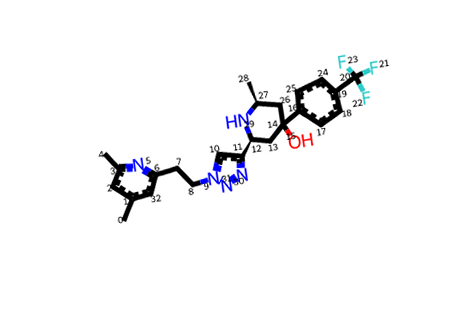 Cc1cc(C)nc(CCn2cc([C@@H]3CC(O)(c4ccc(C(F)(F)F)cc4)C[C@H](C)N3)nn2)c1